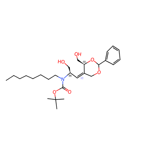 CCCCCCCCN(C(=O)OC(C)(C)C)[C@H](/C=C1/COC(c2ccccc2)O[C@@H]1CO)CO